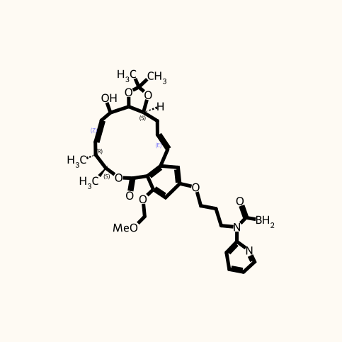 BC(=O)N(CCCOc1cc2c(c(OCOC)c1)C(=O)O[C@@H](C)[C@H](C)/C=C\C(O)C1OC(C)(C)O[C@H]1C/C=C/2)c1ccccn1